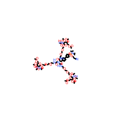 CC(=O)NC1C(OCCOCCOCCNC(=O)CN(CC(=O)NCCOCCOCCO[C@@H]2OC(COC(C)=O)C(OC(C)=O)C(OC(C)=O)C2NC(C)=O)C(Cc2ccc(-c3ccc(OP(OCCC#N)N(C(C)C)C(C)C)cc3)cc2)C(=O)NCCOCCOCCOC2OC(COC(C)=O)C(OC(C)=O)C(OC(C)O)C2NC(C)=O)OC(COC(C)=O)C(OC(C)=O)C1OC(C)=O